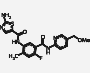 COCc1ccc(NC(=O)c2cc(NC(=O)c3cnc(N)s3)c(C)cc2F)nc1